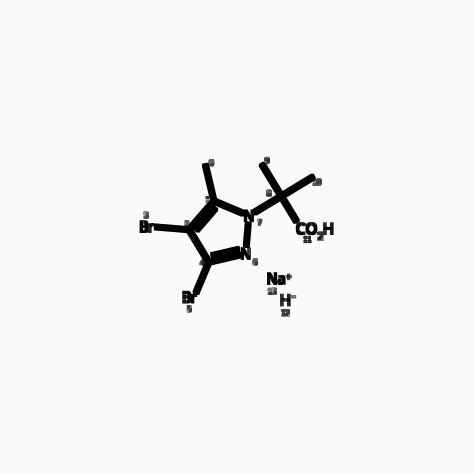 Cc1c(Br)c(Br)nn1C(C)(C)C(=O)O.[H-].[Na+]